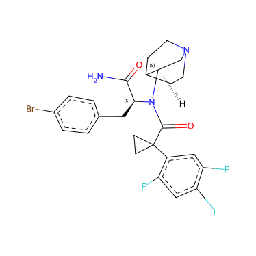 NC(=O)[C@H](Cc1ccc(Br)cc1)N(C(=O)C1(c2cc(F)c(F)cc2F)CC1)[C@@H]1CN2CCC1CC2